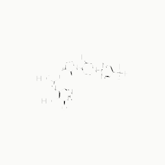 Cc1c(N[C@@H](C)CO[C@@H]2CCN([C@H]3CCN(c4ncc(C(F)(F)F)cn4)C[C@@H]3F)C2=O)cn[nH]c1=O